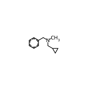 CN(Cc1ccccc1)CC1CC1